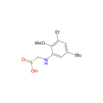 CCc1cc(C(C)(C)C)cc(NCS(=O)O)c1OC